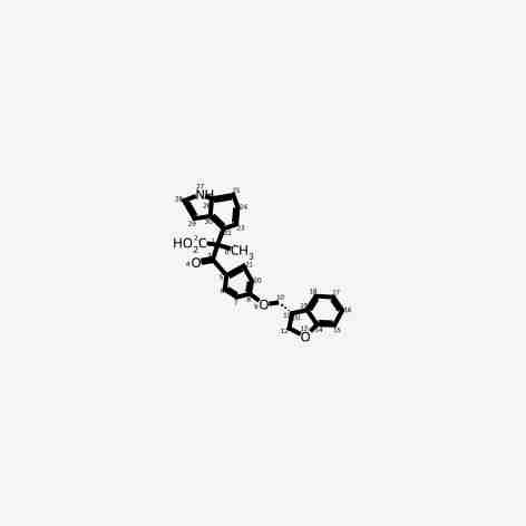 CC(C(=O)O)(C(=O)c1ccc(OC[C@H]2COc3ccccc32)cc1)c1cccc2[nH]ccc12